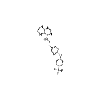 FC(F)(F)c1ccc(Oc2ccc(CCNc3ncnc4nccnc34)cn2)cc1